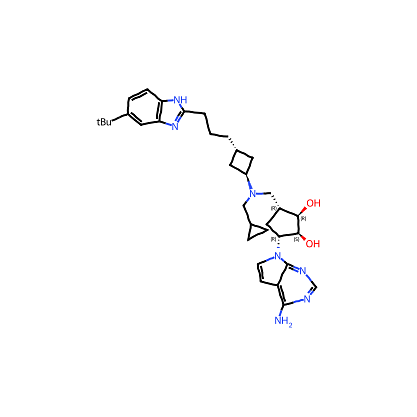 CC(C)(C)c1ccc2[nH]c(CCC[C@H]3C[C@H](N(CC4CC4)C[C@H]4C[C@@H](n5ccc6c(N)ncnc65)[C@H](O)[C@@H]4O)C3)nc2c1